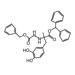 CC(Cc1ccc(O)c(O)c1)(NNC(=O)OCc1ccccc1)C(=O)OC(c1ccccc1)c1ccccc1